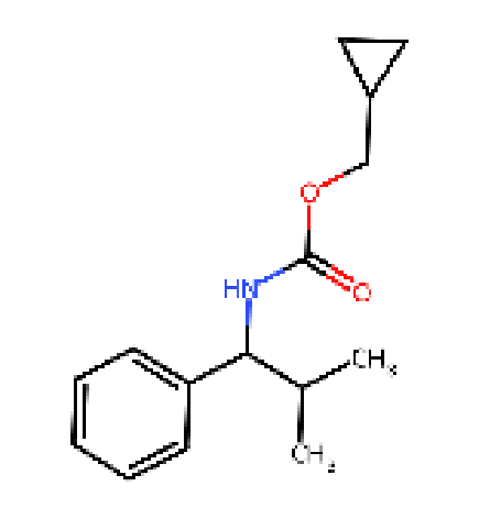 CC(C)C(NC(=O)OCC1CC1)c1ccccc1